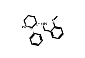 CSc1ccccc1CN[C@H]1CCCN[C@H]1c1ccccc1